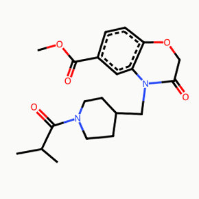 COC(=O)c1ccc2c(c1)N(CC1CCN(C(=O)C(C)C)CC1)C(=O)CO2